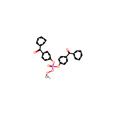 COOP(=O)(Oc1ccc(C(=O)c2ccccc2)cc1)Oc1ccc(C(=O)c2ccccc2)cc1